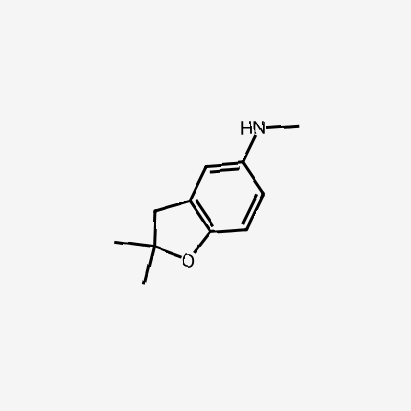 CNc1ccc2c(c1)CC(C)(C)O2